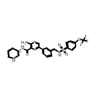 Nc1ncc(-c2cccc(CNS(=O)(=O)c3ccc(OC(F)(F)F)cc3)c2)nc1C(=O)N[C@H]1CCCNC1